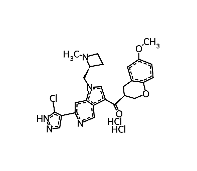 COc1ccc2c(c1)C[C@H](C(=O)c1cn(C[C@@H]3CCN3C)c3cc(-c4cn[nH]c4Cl)ncc13)CO2.Cl.Cl